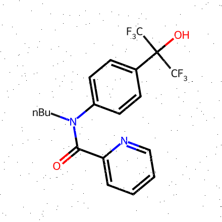 CCCCN(C(=O)c1ccccn1)c1ccc(C(O)(C(F)(F)F)C(F)(F)F)cc1